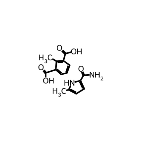 Cc1c(C(=O)O)cccc1C(=O)O.Cc1ccc(C(N)=O)[nH]1